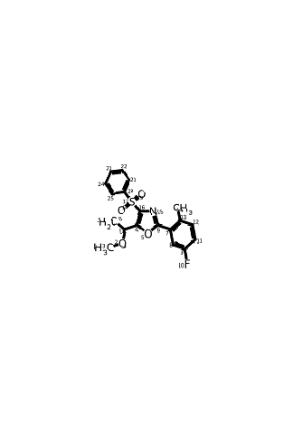 [CH2]C(OC)c1oc(-c2cc(F)ccc2C)nc1S(=O)(=O)c1ccccc1